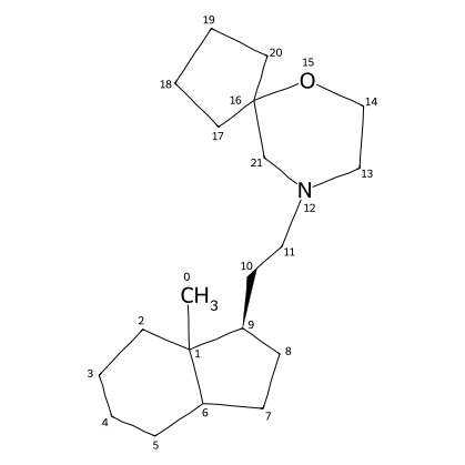 CC12CCCCC1CC[C@@H]2CCN1CCOC2(CCCC2)C1